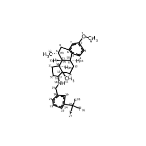 COc1ccc2c(c1)C[C@@H](C)[C@@H]1[C@@H]2CC[C@]2(C)[C@@H](NCc3cccc(C(F)(F)F)c3)CC[C@@H]12